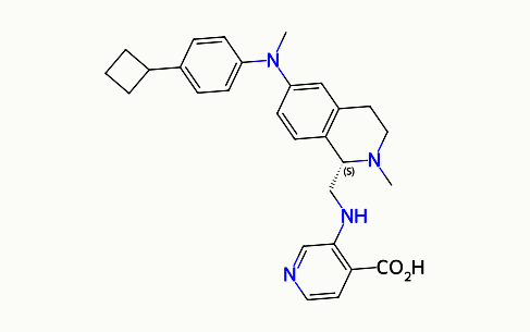 CN(c1ccc(C2CCC2)cc1)c1ccc2c(c1)CCN(C)[C@@H]2CNc1cnccc1C(=O)O